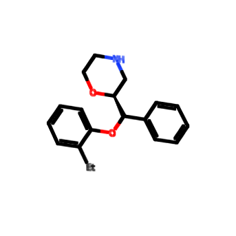 CCc1ccccc1OC(c1ccccc1)[C@@H]1CNCCO1